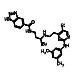 CCc1cnc(Nc2cc(C)cc(C)c2)nc1CCNC(CCNC(=O)c1ccc2[nH]nnc2c1)C(C)CC